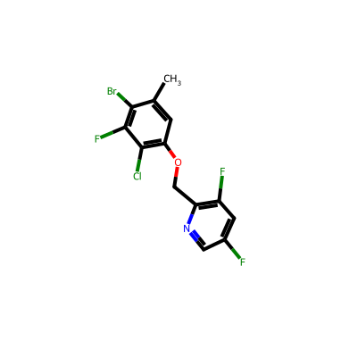 Cc1cc(OCc2ncc(F)cc2F)c(Cl)c(F)c1Br